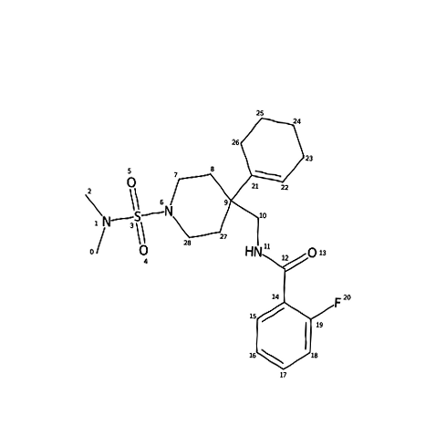 CN(C)S(=O)(=O)N1CCC(CNC(=O)c2ccccc2F)(C2=CCCCC2)CC1